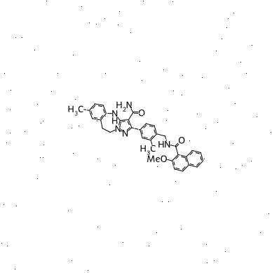 COc1ccc2ccccc2c1C(=O)NCc1ccc(-c2nn3c(c2C(N)=O)Nc2ccc(C)cc2CC3)cc1C